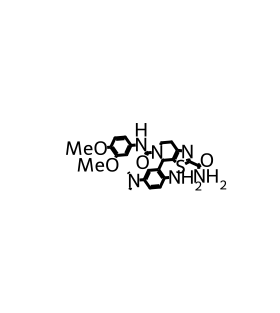 COc1ccc(NC(=O)N2CCc3nc(C(N)=O)sc3C2c2cc(N(C)C)ccc2N)cc1OC